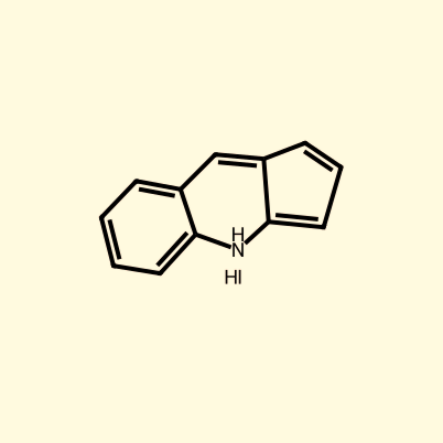 I.c1cc2cc3ccccc3[nH]c-2c1